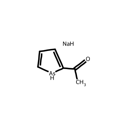 CC(=O)C1=CC=C[AsH]1.[NaH]